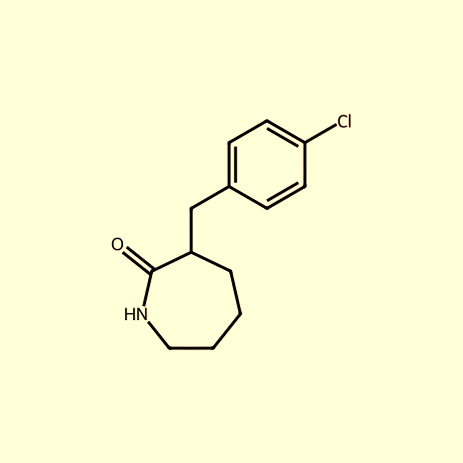 O=C1NCCCCC1Cc1ccc(Cl)cc1